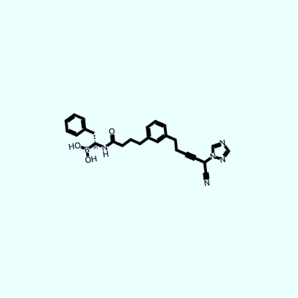 N#CC(C#CCCc1cccc(CCCC(=O)N[C@@H](Cc2ccccc2)B(O)O)c1)n1cncn1